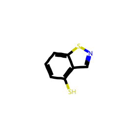 Sc1cccc2sncc12